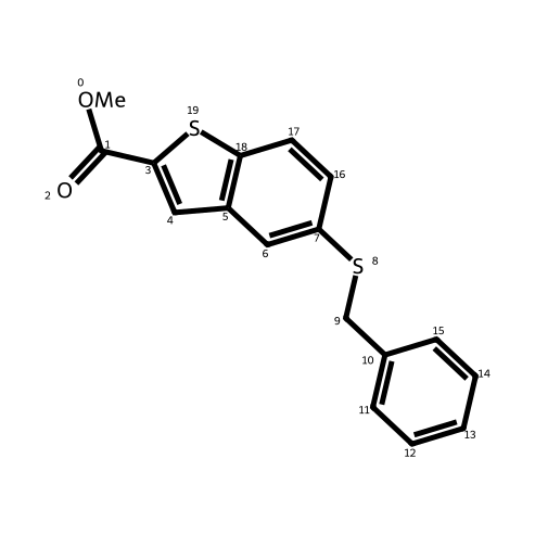 COC(=O)c1cc2cc(SCc3ccccc3)ccc2s1